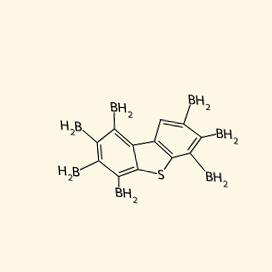 Bc1cc2c(sc3c(B)c(B)c(B)c(B)c32)c(B)c1B